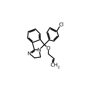 C=CCOC1(c2ccc(Cl)cc2)c2ccccc2C2=NCCN21